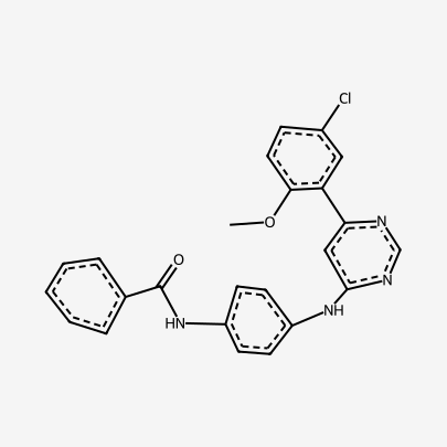 COc1ccc(Cl)cc1-c1cc(Nc2ccc(NC(=O)c3ccccc3)cc2)ncn1